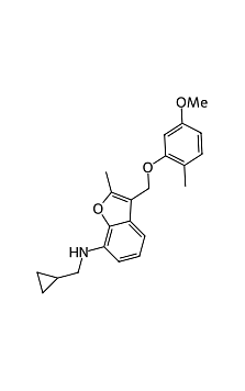 COc1ccc(C)c(OCc2c(C)oc3c(NCC4CC4)cccc23)c1